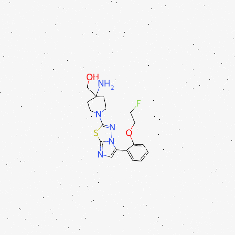 NC1(CO)CCN(c2nn3c(-c4ccccc4OCCF)cnc3s2)CC1